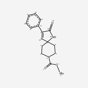 CC(C)(C)OC(=O)N1CCC2(CC1)N=C(c1ccccc1)C(=O)N2